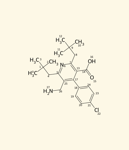 CC(C)(C)Cc1nc(CC(C)(C)C)c(C(=O)O)c(-c2ccc(Cl)cc2)c1CN